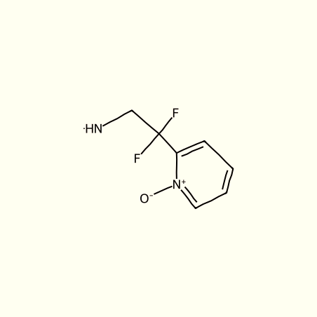 [NH]CC(F)(F)c1cccc[n+]1[O-]